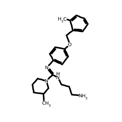 Cc1ccccc1COc1ccc(/N=C(\NCCCN)N2CCCC(C)C2)cc1